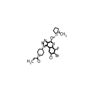 C=CC(=O)N1CCC(n2nnc3c(OC[C@@H]4CCCN4C)nc4c(F)c(Br)c(Cl)cc4c32)CC1